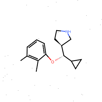 Cc1cccc(O[C@@H](C2CC2)[C@H]2CCNC2)c1C